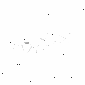 COC(=O)C(CCCC1(N)CCCC1)NS(=O)(=O)c1ccc([N+](=O)[O-])cc1